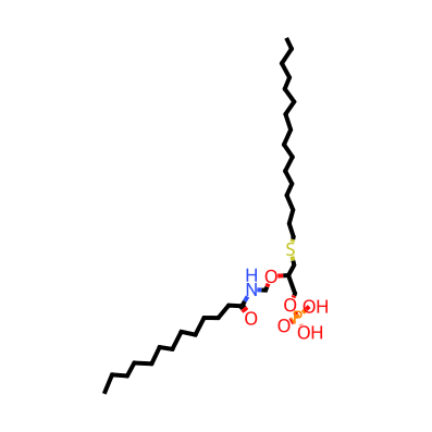 CCCCCCCCCCCCCCCCSCC(COP(=O)(O)O)OCNC(=O)CCCCCCCCCCCC